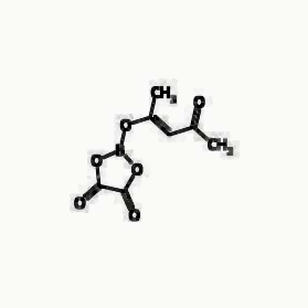 CC(=O)C=C(C)OB1OC(=O)C(=O)O1